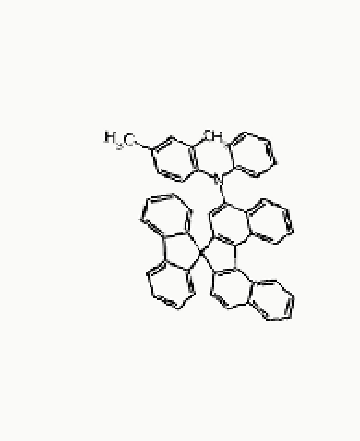 Cc1ccc(N(c2ccccc2)c2cc3c(c4ccccc24)-c2c(ccc4ccccc24)C32c3ccccc3-c3ccccc32)c(C)c1